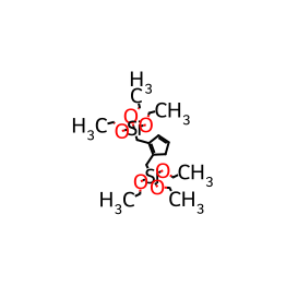 CCO[Si](CC1=C(C[Si](OCC)(OCC)OCC)CC=C1)(OCC)OCC